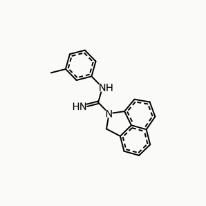 Cc1cccc(NC(=N)N2Cc3cccc4cccc2c34)c1